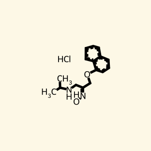 CC(C)NC/C(COc1cccc2ccccc12)=N\O.Cl